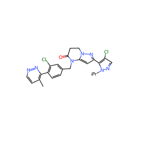 Cc1ccnnc1-c1ccc(CN2C(=O)CCn3nc(-c4c(Cl)cnn4C(C)C)cc32)cc1Cl